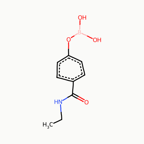 CCNC(=O)c1ccc(OB(O)O)cc1